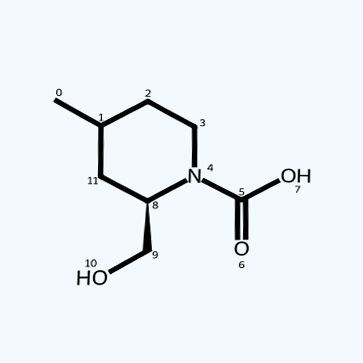 CC1CCN(C(=O)O)[C@@H](CO)C1